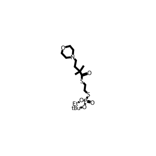 CCOP(=O)(OC(C)(C)C)SCCSC(=O)C(C)(C)CCN1CCOCC1